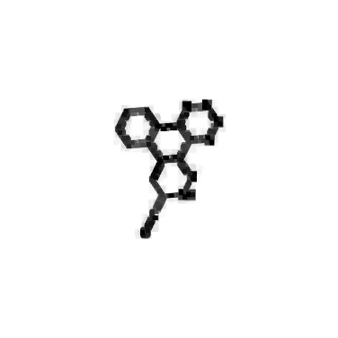 O=C=C1C=c2c(c3nnnnc3c3ccccc23)=NN1